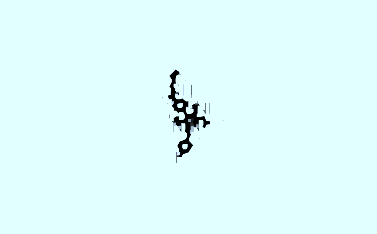 CC(C)Cc1nc(CCc2ccc(F)cc2)c(C(N)=O)c(-c2ccc(C(=O)NCc3ccco3)cc2)c1C(N)=O